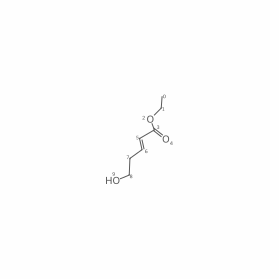 CCOC(=O)C=CCCO